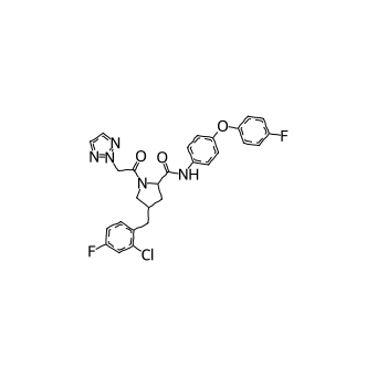 O=C(Nc1ccc(Oc2ccc(F)cc2)cc1)C1CC(Cc2ccc(F)cc2Cl)CN1C(=O)Cn1nccn1